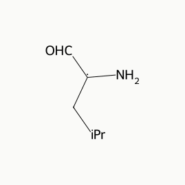 CC(C)C[C](N)C=O